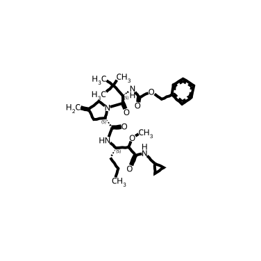 C=C1C[C@@H](C(=O)N[C@@H](CCC)C(OC)C(=O)NC2CC2)N(C(=O)[C@@H](NC(=O)OCc2ccccc2)C(C)(C)C)C1